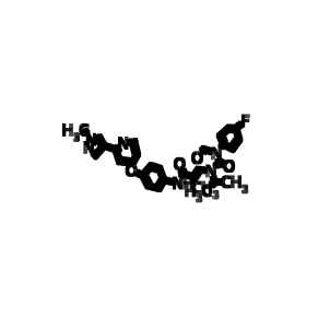 C/C(=C\N(C(=O)N(C=O)c1ccc(F)cc1)C(C)C)C(=O)Nc1ccc(Oc2ccnc(-c3cnn(C)c3)c2)cc1